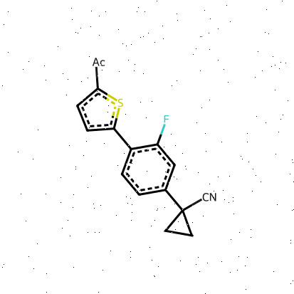 CC(=O)c1ccc(-c2ccc(C3(C#N)CC3)cc2F)s1